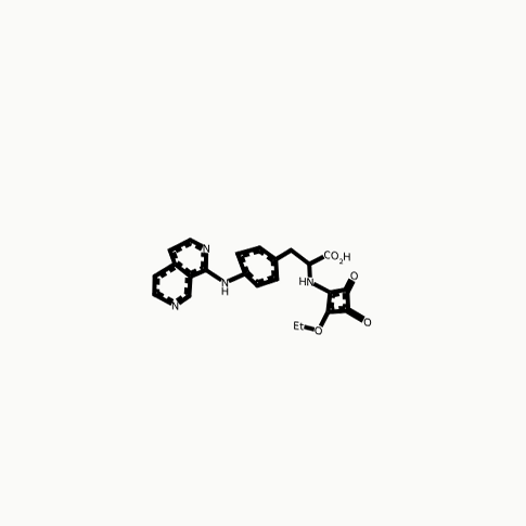 CCOc1c(NC(Cc2ccc(Nc3nccc4ccncc34)cc2)C(=O)O)c(=O)c1=O